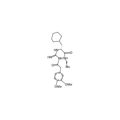 CC[C@H](C)CNC(=O)[C@@H](CC1CCCCC1)NC(=N)NC(=O)Cc1ccc(OC)c(OC)c1